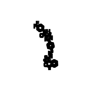 CC(C)c1ccccc1N1C(=O)CSC1=NN=Cc1ccc(-c2nc(C(=O)NC3CCC(F)(F)CC3)n(C)n2)cc1